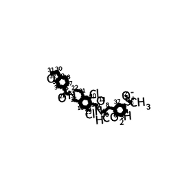 C[S+]([O-])c1cccc(CC(NC(=O)c2c(Cl)cc3c(c2Cl)CCN(C(=O)c2ccc4ccoc4c2)C3)C(=O)O)c1